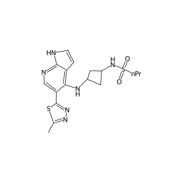 CCCS(=O)(=O)NC1CC(Nc2c(-c3nnc(C)s3)cnc3[nH]ccc23)C1